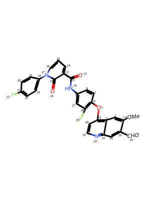 COc1cc2c(Oc3ccc(NC(=O)c4cccn(-c5ccc(F)cc5)c4=O)cc3F)ccnc2cc1C=O